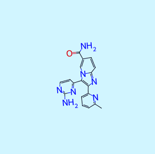 Cc1cccc(-c2nc3ccc(C(N)=O)cn3c2-c2ccnc(N)n2)n1